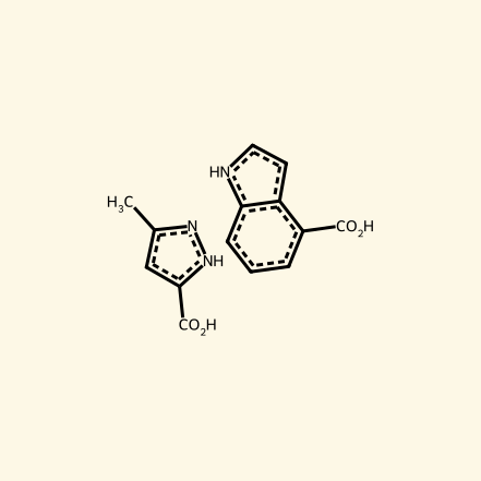 Cc1cc(C(=O)O)[nH]n1.O=C(O)c1cccc2[nH]ccc12